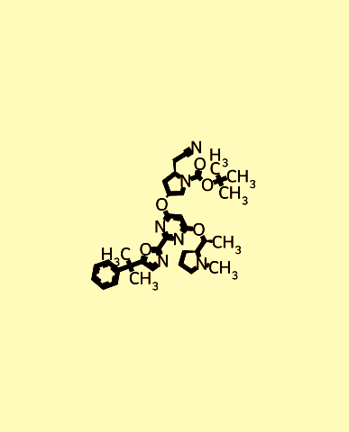 C[C@H](Oc1cc(O[C@@H]2C[C@@H](CC#N)N(C(=O)OC(C)(C)C)C2)nc(-c2ncc(C(C)(C)c3ccccc3)o2)n1)[C@@H]1CCCN1C